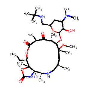 CC[C@H]1OC(=O)C(C)C(=O)[C@H](C)[C@@H](OC2OC(CNC(C)(C)C)CC(N(C)C)C2O)[C@](C)(OC)C[C@@H](C)CN[C@H](C)[C@H]2NC(=O)O[C@@]21C